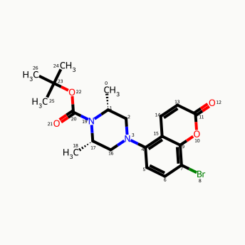 C[C@@H]1CN(c2ccc(Br)c3oc(=O)ccc23)C[C@H](C)N1C(=O)OC(C)(C)C